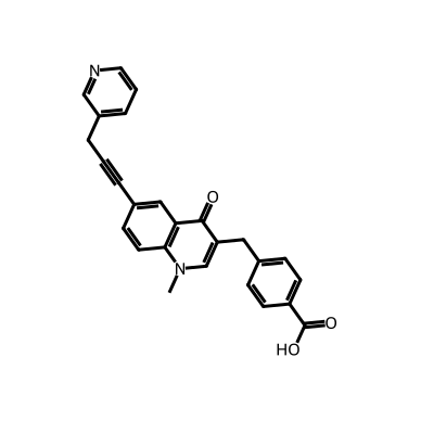 Cn1cc(Cc2ccc(C(=O)O)cc2)c(=O)c2cc(C#CCc3cccnc3)ccc21